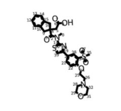 CN(C(=O)C1(CC(=O)O)Cc2ccccc2C1)c1nc(-c2ccc(OCCN3CCOCC3)c(S(C)(=O)=O)c2)cs1